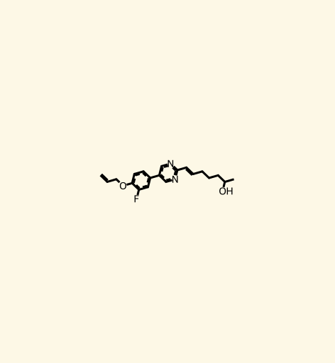 C=CCOc1ccc(-c2cnc(C=CCCCC(C)O)nc2)cc1F